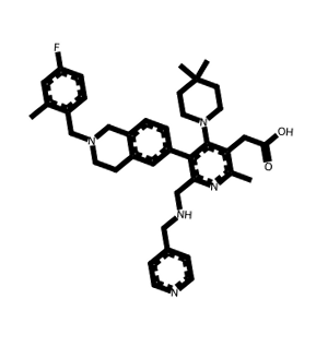 Cc1cc(F)ccc1CN1CCc2cc(-c3c(CNCc4ccncc4)nc(C)c(CC(=O)O)c3N3CCC(C)(C)CC3)ccc2C1